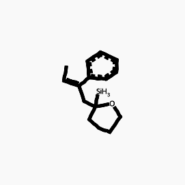 CC=C(CC1([SiH3])CCCCO1)c1ccccc1